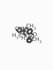 CC(NC(=O)C1(N(C)CCOc2ccccc2)CCOCC1)c1ccc(C(=O)N(C)C)cc1